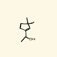 CC(O)C1=CC(C)(C)CC1